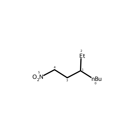 CCCCC(CC)CC[N+](=O)[O-]